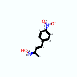 CC(/C=C/c1ccc([N+](=O)[O-])cc1)=N/O